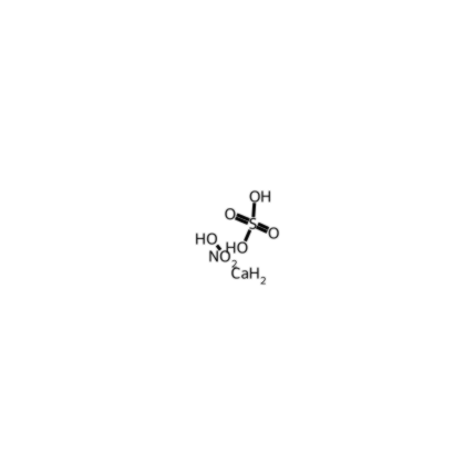 O=S(=O)(O)O.O=[N+]([O-])O.[CaH2]